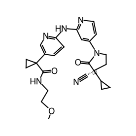 COCCNC(=O)C1(c2ccc(Nc3cc(N4CC[C@@](C#N)(C5CC5)C4=O)ccn3)nc2)CC1